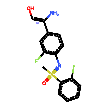 CS(=O)(=Nc1ccc(/C(N)=C/O)cc1F)c1ccccc1F